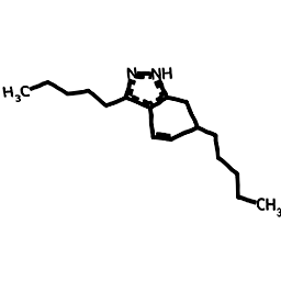 CCCCCc1n[nH]c2c1C=CC(CCCCC)C2